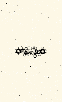 CCOC(=O)[C@H](Cc1ccccc1)NS(=O)(=O)CCCNC(=O)[C@@H](N)Cc1ccccc1